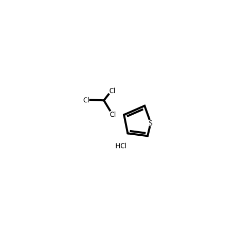 Cl.ClC(Cl)Cl.c1ccsc1